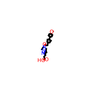 COc1ccc(-c2ccc(CC(=O)N3CCn4nc(CCC(=O)O)cc4C3)cc2)cc1